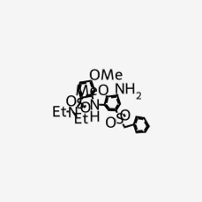 CCN(CC)S(=O)(=O)c1ccc(OC)cc1Nc1cc(S(=O)(=O)Cc2ccccc2)cc(N)c1OC